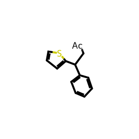 CC(=O)CC(c1ccccc1)c1cccs1